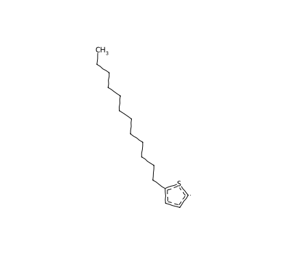 CCCCCCCCCCCCc1cc[c]s1